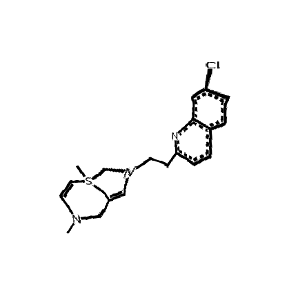 CN1C=CS2(C)CN(CCc3ccc4ccc(Cl)cc4n3)C=C2C1